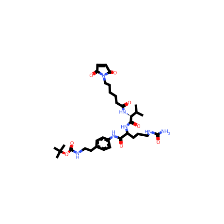 CC(C)[C@@H](NC(=O)CCCCCN1C(=O)C=CC1=O)C(=O)NC(CCCNC(N)=O)C(=O)Nc1ccc(CCNC(=O)OC(C)(C)C)cc1